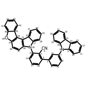 N#Cc1c(-c2cccc(-n3c4ccccc4c4ccccc43)c2)cccc1-n1c2ccccc2c2c3c(ccc21)oc1ccccc13